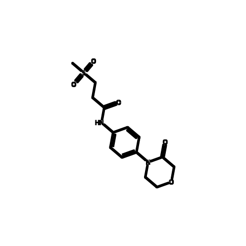 CS(=O)(=O)CCC(=O)Nc1ccc(N2CCOCC2=O)cc1